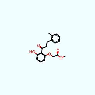 COC(=O)COc1cccc(O)c1C(=O)CCc1ccccc1C